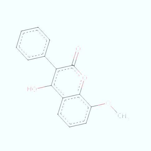 COc1cccc2c(O)c(-c3ccccc3)c(=O)oc12